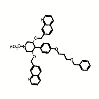 O=C(O)N1C[C@H](OCc2ccc3cccnc3c2)C(c2ccc(OCCCOCc3ccccc3)cc2)[C@H](OCc2ccc3cccnc3c2)C1